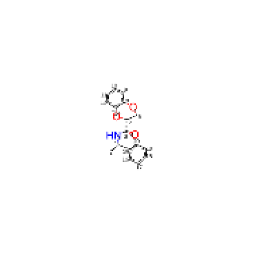 C[C@@H](NC(=O)[C@H]1COc2ccccc2O1)c1ccccc1